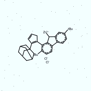 CC(C)(C)c1ccc2c(c1)[CH]([Zr+2])c1c-2ccc(C(C)(C)C)c1C1=C(C23CC4CC(CC(C4)C2)C3)C=CC1.[Cl-].[Cl-]